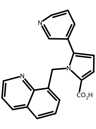 O=C(O)c1ccc(-c2cccnc2)n1Cc1cccc2cccnc12